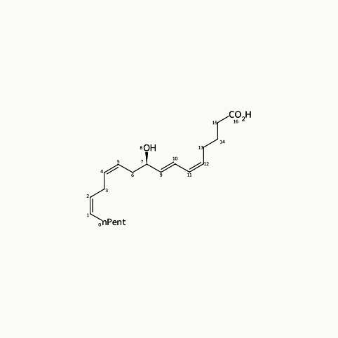 CCCCC/C=C\C/C=C\C[C@@H](O)/C=C/C=C\CCCC(=O)O